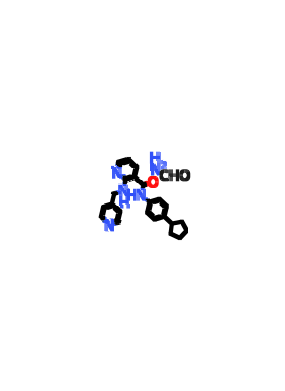 NC=O.O=C(Nc1ccc(C2CCCC2)cc1)c1cccnc1NCc1ccncc1